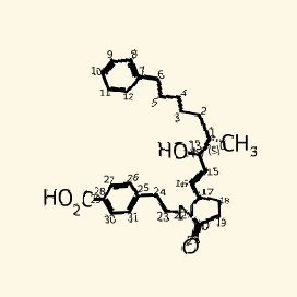 C[C@@H](CCCCCc1ccccc1)[C@H](O)C=CC1CCC(=O)N1CCc1ccc(C(=O)O)cc1